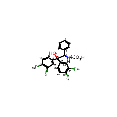 O=C(O)NC(c1ccccc1)C(O)(c1ccc(F)c(F)c1)c1ccc(F)c(F)c1